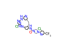 O=C(Nc1ccc2cc1CCc1cncc(c1)Nc1ncc(Cl)c(n1)N2)N1CCN(c2ncc(C(F)(F)F)cc2Cl)CC1